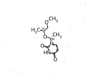 COC[C@H](C)O[C@H](C)n1ccc(=O)[nH]c1=O